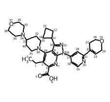 CCc1c(C(=O)O)nc2c(c(C3CCC3)nn2-c2ccnc(C3=CCOCC3)c2)c1N1CCC(N2CCOCC2)CC1